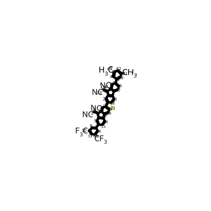 [C-]#[N+]/C(C#N)=C1/c2cc(-c3cc(C(F)(F)F)cc(C(F)(F)F)c3)ccc2-c2cc3sc4cc5c(cc4c3cc21)/C(=C(\C#N)[N+]#[C-])c1cc(-c2cc(C)cc(C)c2)ccc1-5